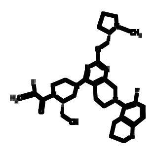 C=C(F)C(=O)N1CCN(c2nc(OC[C@@H]3CCCN3C)nc3c2CCN(c2c(F)ccc4c2CCCS4)C3)C[C@@H]1CC#N